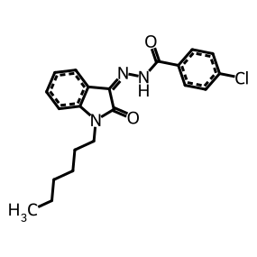 CCCCCCN1C(=O)/C(=N\NC(=O)c2ccc(Cl)cc2)c2ccccc21